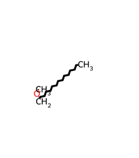 C=C(CCCCCCCCCCCCC)OC